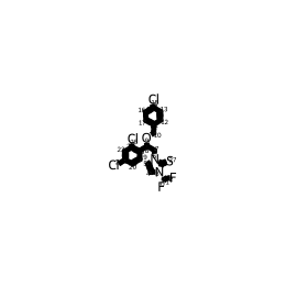 FC(F)n1ccn(CC(OCc2ccc(Cl)cc2)c2ccc(Cl)cc2Cl)c1=S